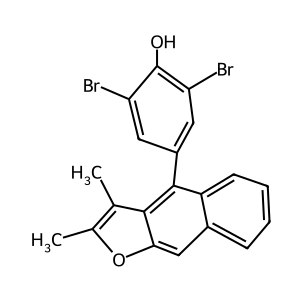 Cc1oc2cc3ccccc3c(-c3cc(Br)c(O)c(Br)c3)c2c1C